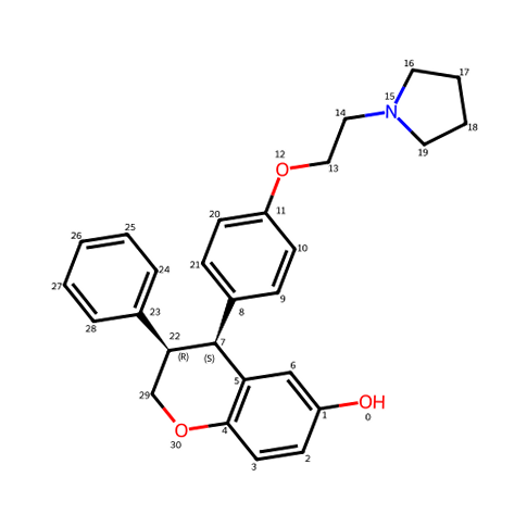 Oc1ccc2c(c1)[C@H](c1ccc(OCCN3CCCC3)cc1)[C@H](c1ccccc1)CO2